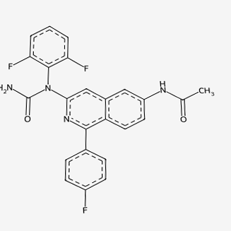 CC(=O)Nc1ccc2c(-c3ccc(F)cc3)nc(N(C(N)=O)c3c(F)cccc3F)cc2c1